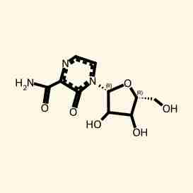 NC(=O)c1nccn([C@@H]2O[C@H](CO)C(O)C2O)c1=O